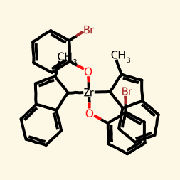 CC1=Cc2ccccc2[CH]1[Zr]([O]c1ccccc1Br)([O]c1ccccc1Br)[CH]1C(C)=Cc2ccccc21